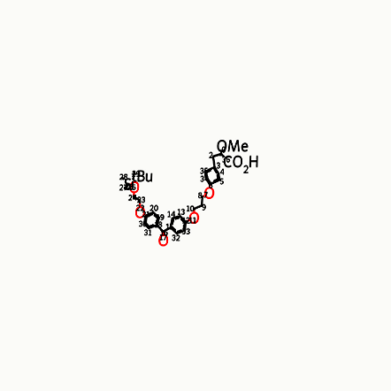 CO[C@@H](Cc1ccc(OCCCOc2ccc(C(=O)c3ccc(OCCO[Si](C)(C)C(C)(C)C)cc3)cc2)cc1)C(=O)O